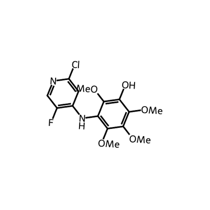 COc1c(O)c(OC)c(OC)c(OC)c1Nc1cc(Cl)ncc1F